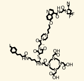 C[C@H](CN1C(=O)CC(SC[C@H](CCCCNC(=O)CCCc2ccc(I)cc2)NC(=O)CN2CCN(CC(=O)O)CCN(CC(=O)O)CCN(CC(=O)O)CC2)C1=O)C(=O)N1CCN(CCCCOc2ccc3nccc(C(=O)NCC(=O)N4CC(F)(F)C[C@@H]4C#N)c3c2)CC1